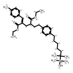 CCOC(=O)/C(=C\c1ccc(C)cc1)CC(CCc1ccc(CCCCCC(C)(C)[Si](C)(C)O)cc1)C(=O)OCC